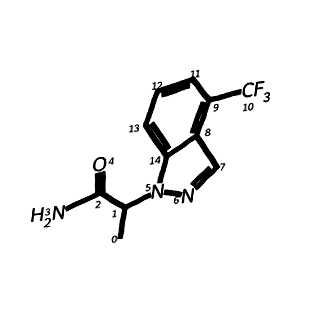 CC(C(N)=O)n1ncc2c(C(F)(F)F)cccc21